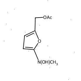 CC(=O)OCc1ccc(N(C)O)o1